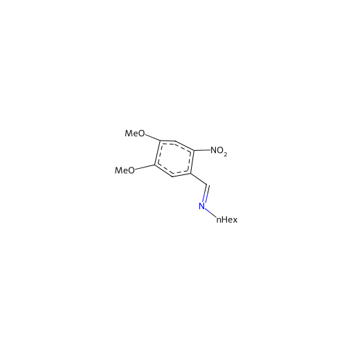 CCCCCCN=Cc1cc(OC)c(OC)cc1[N+](=O)[O-]